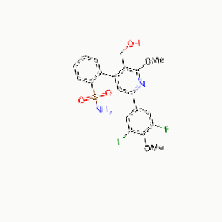 COc1nc(-c2cc(F)c(OC)c(F)c2)cc(-c2ccccc2S(N)(=O)=O)c1CO